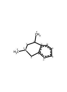 CC1CN(C)Cc2ncccc21